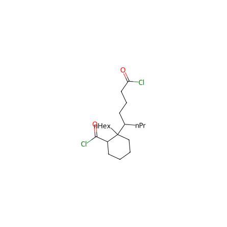 CCCCCCC1(C(CCC)CCCC(=O)Cl)CCCCC1C(=O)Cl